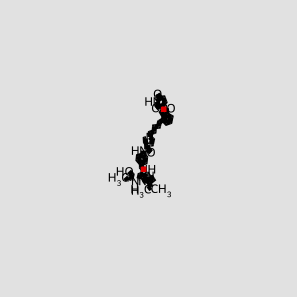 CC[C@@H](CO)Nc1cc(NCc2ccc(NC(=O)N3CCN(CCCCCc4cccc5c4CN(C4CCC(=O)NC4=O)C5=O)CC3)cc2)n2ncc(C(C)C)c2n1